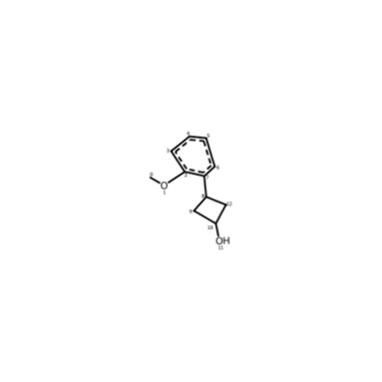 COc1ccccc1C1CC(O)C1